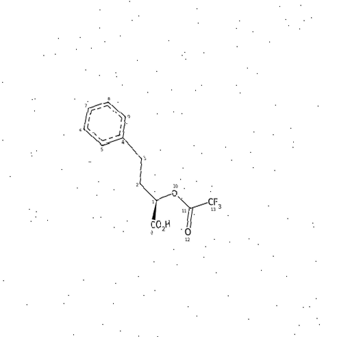 O=C(O)[C@@H](CCc1ccccc1)OC(=O)C(F)(F)F